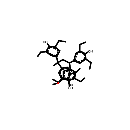 CCc1cc(C(CC(C)(c2cc(CC)c(O)c(CC)c2)c2cc(CC)c(O)c(CC)c2)c2cc(CC)c(O)c(CC)c2)cc(CC)c1O